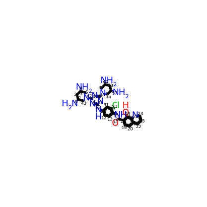 N[C@@H]1C[C@H](N)CN(c2nc(Nc3ccc(NC(=O)c4ccc5cccnc5c4O)c(Cl)c3)nc(N3C[C@H](N)C[C@H](N)C3)n2)C1